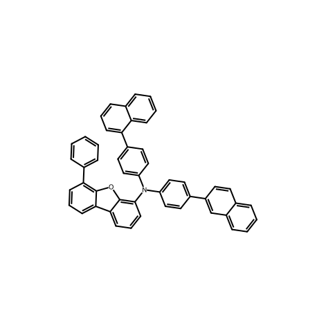 c1ccc(-c2cccc3c2oc2c(N(c4ccc(-c5ccc6ccccc6c5)cc4)c4ccc(-c5cccc6ccccc56)cc4)cccc23)cc1